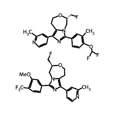 COc1cc(-c2nc(-c3ccnc(C)c3)c3n2C[C@@H](CF)OCC3)ccc1C(F)(F)F.Cc1cc(-c2nc(-c3ccc(OC(F)F)c(C)c3)n3c2CCO[C@H](CF)C3)ccn1